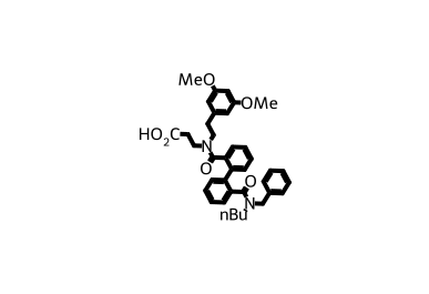 CCCCN(Cc1ccccc1)C(=O)c1ccccc1-c1ccccc1C(=O)N(CCC(=O)O)CCc1cc(OC)cc(OC)c1